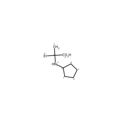 CCC(C)(NC1CCCC1)C(=O)O